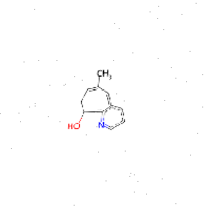 CC1=CCC(O)=c2ncccc2=C1